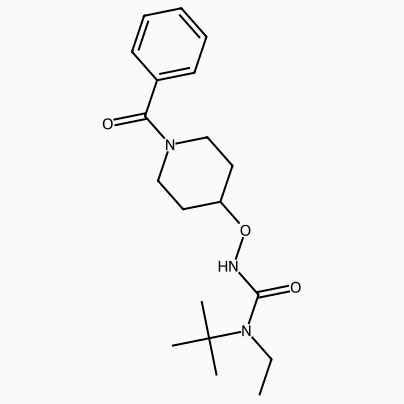 CCN(C(=O)NOC1CCN(C(=O)c2ccccc2)CC1)C(C)(C)C